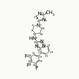 Cc1nsc(N2CCC(Nc3nc4c(-c5cc(F)c(F)c(F)c5)cccn4n3)CC2)n1